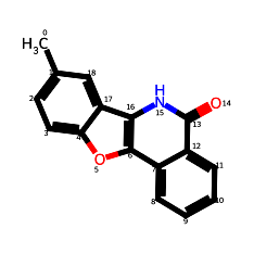 Cc1ccc2oc3c4ccccc4c(=O)[nH]c3c2c1